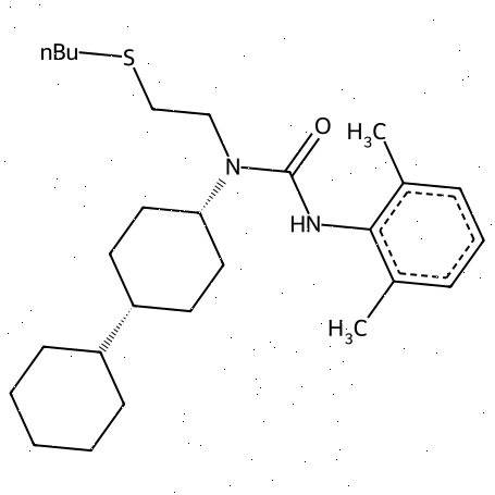 CCCCSCCN(C(=O)Nc1c(C)cccc1C)[C@H]1CC[C@@H](C2CCCCC2)CC1